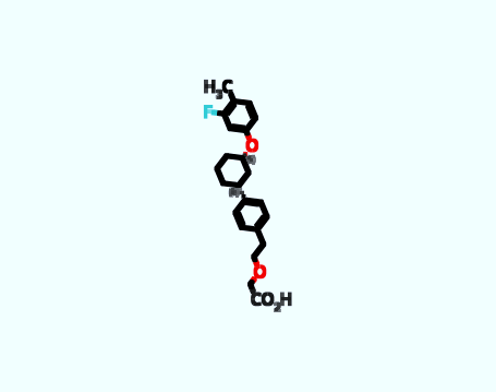 Cc1ccc(O[C@H]2CCC[C@@H](c3ccc(CCOCC(=O)O)cc3)C2)cc1F